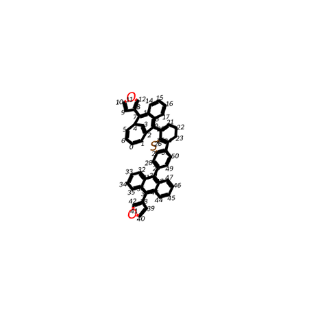 C1=CC2=CC(C=C1)C(c1ccoc1)=c1ccccc1=C2C1=CCCc2c1sc1cc(-c3c4ccccc4c(-c4ccoc4)c4ccccc34)ccc21